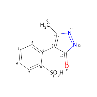 CC1=C(c2ccccc2S(=O)(=O)O)C(=O)N=N1